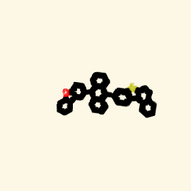 c1ccc2c(c1)ccc1sc3cc(-c4c5ccccc5c(-c5ccc6oc7ccccc7c6c5)c5ccccc45)ccc3c12